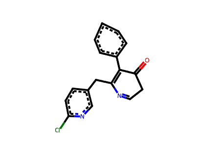 O=C1CC=NC(Cc2ccc(Cl)nc2)=C1c1ccccc1